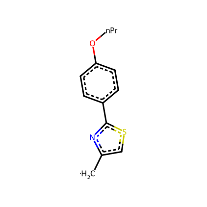 [CH2]c1csc(-c2ccc(OCCC)cc2)n1